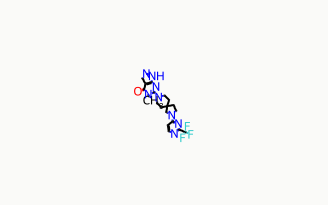 Cn1c(N2CCC3(CCN(c4ccnc(C(F)(F)F)n4)C3)CC2)nc2[nH]ncc2c1=O